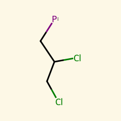 [P]CC(Cl)CCl